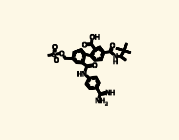 CC(NC(=O)c1ccc(-c2ccc(COS(C)(=O)=O)cc2C(=O)Nc2ccc(C(=N)N)cc2)c(C(=O)O)c1)C(C)(C)C